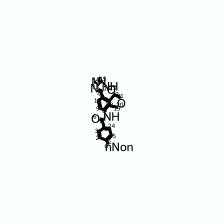 CCCCCCCCCc1ccc(C(=O)Nc2ccc(-c3nnn[nH]3)c3c2COCC3=O)cc1